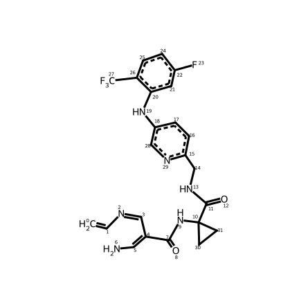 C=C/N=C\C(=C/N)C(=O)NC1(C(=O)NCc2ccc(Nc3cc(F)ccc3C(F)(F)F)cn2)CC1